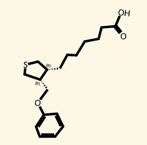 O=C(O)CCCCCC[C@H]1CSC[C@H]1COc1ccccc1